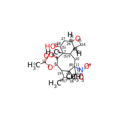 CC(=O)OC1C(=O)[C@@]2(C)C(C[C@]3([N+](=O)[O-])CCC(C)C1C3(C)C)[C@@H]1CO[C@@H]1C[C@@H]2O